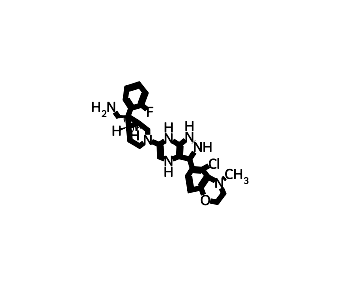 CN1CCOc2ccc(C3NNC4=C3NC=C(N3CC[C@@H]5[C@H](C3)[C@@]5(CN)c3ccccc3F)N4)c(Cl)c21